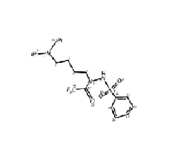 CC(C)N(CCCCN(NS(=O)(=O)c1ccccc1)C(=O)C(F)(F)F)C(C)C